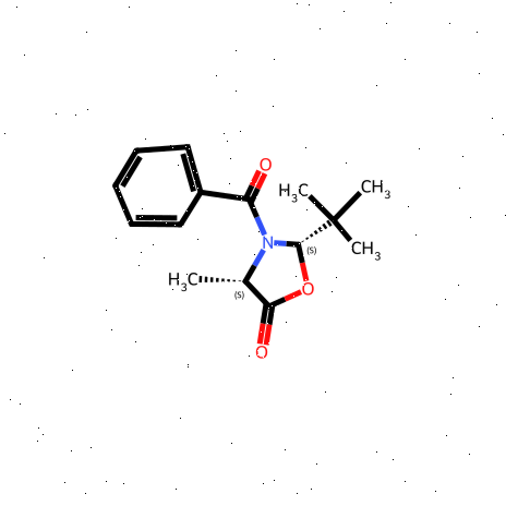 C[C@H]1C(=O)O[C@@H](C(C)(C)C)N1C(=O)c1ccccc1